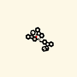 CC1(C)c2ccccc2-c2cccc(N(Cc3ccc4c(c3)C3(c5ccccc5-4)C4CCC5CC(C4)CC3C5)c3ccc4c(c3)C3(CCCCC3)c3ccccc3-4)c21